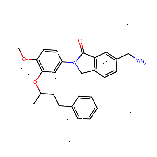 COc1ccc(N2Cc3ccc(CN)cc3C2=O)cc1OC(C)CCc1ccccc1